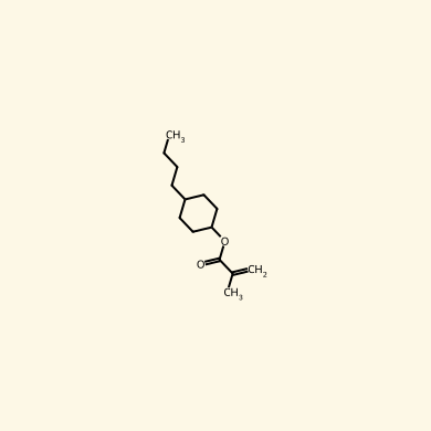 C=C(C)C(=O)OC1CCC(CCCC)CC1